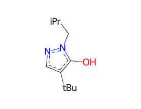 CC(C)Cn1ncc(C(C)(C)C)c1O